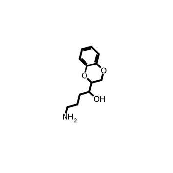 NCCCC(O)C1COc2ccccc2O1